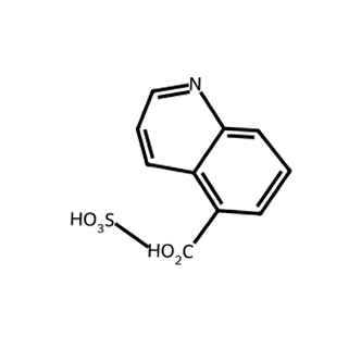 CS(=O)(=O)O.O=C(O)c1cccc2ncccc12